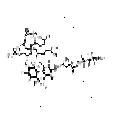 CCCC(CC)CCC(C)[CH2][Al-]([CH2]C(C)CCC(CC)CCC)([CH2]C(C)CCC(CC)CCC)[CH2]C(C)CCC(CC)CCC.CCCCCCC(F)(F)C(F)(F)C(F)(F)[NH2+]CC(C)CCC(CC)CCC.Fc1c(F)c(F)c(-c2c(C(F)(F)F)c(F)c(F)c(F)c2C(F)(F)C(F)(F)F)c(F)c1F